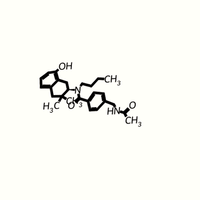 CCCCN(C(=O)c1ccc(CNC(C)=O)cc1)[C@@H]1Cc2c(O)cccc2CC1(C)C